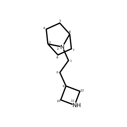 C(CN1C2CCC1CC2)C1CNC1